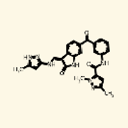 Cc1cc(C(=O)Nc2cccc(C(=O)c3ccc4c(c3)NC(=O)C4=CNc3cc(C)[nH]n3)c2)n(C)n1